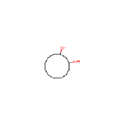 OC1CCCCCCCCCC(O)C1